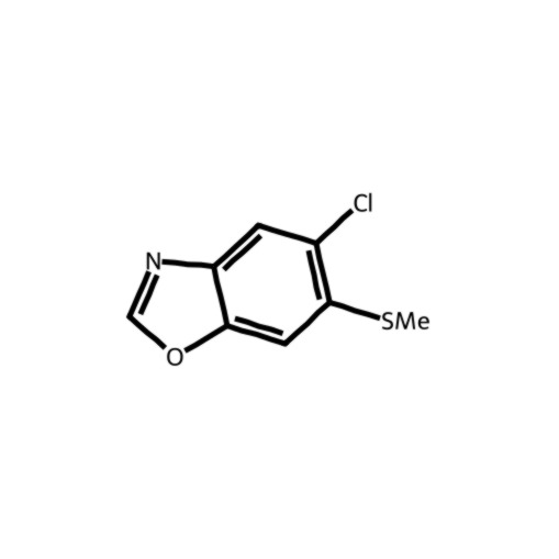 CSc1cc2ocnc2cc1Cl